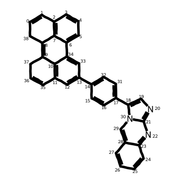 C1=Cc2cccc3c2c(c2c4c(cc(-c5ccc(-c6cnc7nc8ccccc8cn67)cc5)cc43)C=CC2)C1